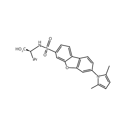 Cc1ccc(C)n1-c1ccc2c(c1)oc1cc(S(=O)(=O)N[C@H](C(=O)O)C(C)C)ccc12